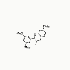 COc1ccc(C=C(C)C(=O)c2cc(OC)cc(OC)c2)cc1